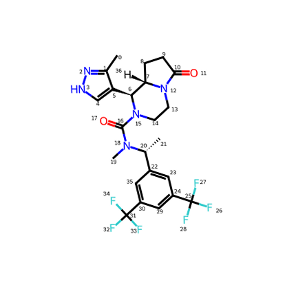 Cc1n[nH]cc1[C@H]1[C@@H]2CCC(=O)N2CCN1C(=O)N(C)[C@H](C)c1cc(C(F)(F)F)cc(C(F)(F)F)c1